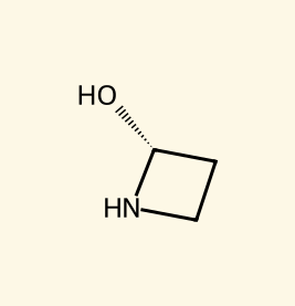 O[C@@H]1CCN1